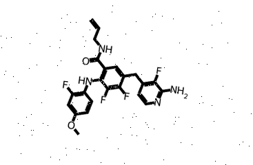 C=CCNC(=O)c1cc(Cc2ccnc(N)c2F)c(F)c(F)c1Nc1ccc(OC)cc1F